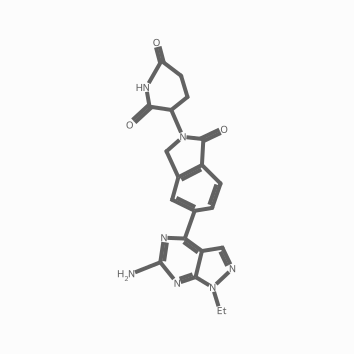 CCn1ncc2c(-c3ccc4c(c3)CN(C3CCC(=O)NC3=O)C4=O)nc(N)nc21